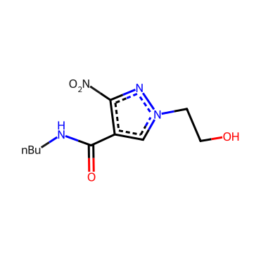 CCCCNC(=O)c1cn(CCO)nc1[N+](=O)[O-]